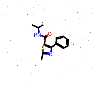 Cc1nc(-c2ccccc2)c(C(=O)NC(C)C)s1